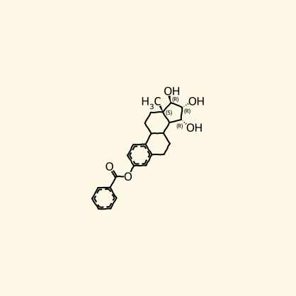 C[C@]12CCC3c4ccc(OC(=O)c5ccccc5)cc4CCC3C1[C@@H](O)[C@@H](O)[C@@H]2O